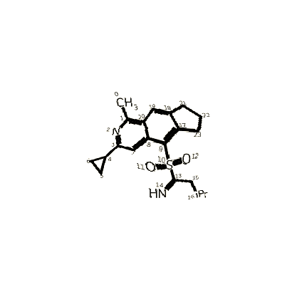 Cc1nc(C2CC2)cc2c(S(=O)(=O)C(=N)CC(C)C)c3c(cc12)CCC3